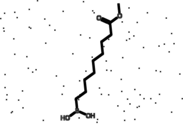 COC(=O)CCCCCCCCB(O)O